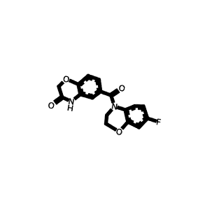 O=C1COc2ccc(C(=O)N3CCOc4cc(F)ccc43)cc2N1